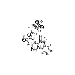 COc1cc2ncnc(N[C@H](C)c3ccccc3)c2cc1OC1CCN(S(C)(=O)=O)CC1